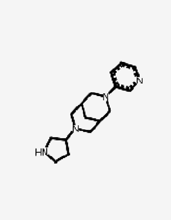 c1cncc(N2CC3CC(C2)CN(C2CCNC2)C3)c1